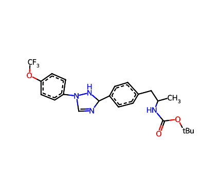 CC(Cc1ccc(C2N=CN(c3ccc(OC(F)(F)F)cc3)N2)cc1)NC(=O)OC(C)(C)C